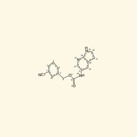 N#Cc1cccc(COC(=O)Nc2cnc3[nH]ccc3c2)c1